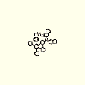 Cc1ccc(-c2c(-c3ccccc3)cc(-c3ccccc3)c3c4ccccc4c4cc(N(c5ccc6ccccc6c5)c5ccc6ccccc6c5)ccc4c23)cc1